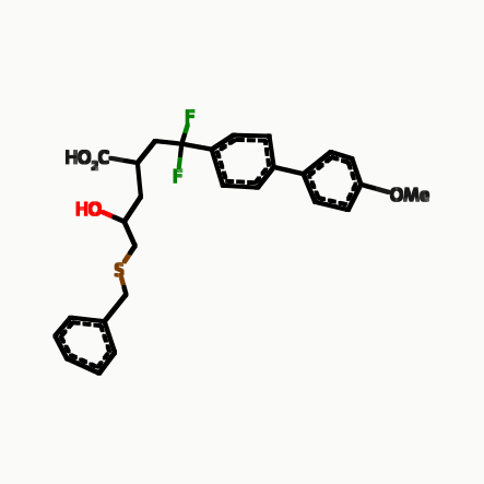 COc1ccc(-c2ccc(C(F)(F)CC(CC(O)CSCc3ccccc3)C(=O)O)cc2)cc1